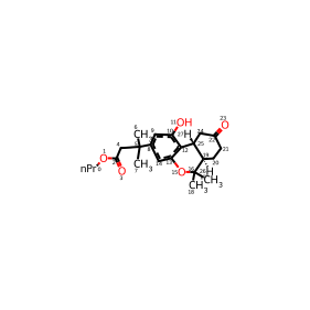 CCCOC(=O)CC(C)(C)c1cc(O)c2c(c1)OC(C)(C)[C@@H]1CCC(=O)C[C@@H]21